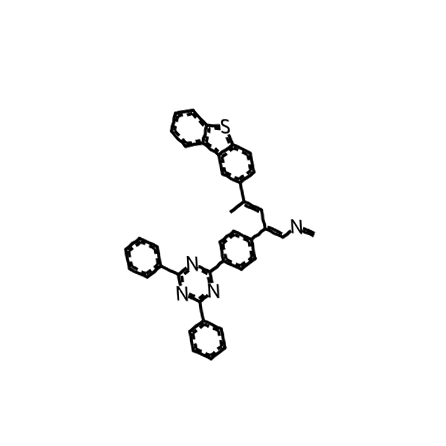 C=N/C=C(\C=C(/C)c1ccc2sc3ccccc3c2c1)c1ccc(-c2nc(-c3ccccc3)nc(-c3ccccc3)n2)cc1